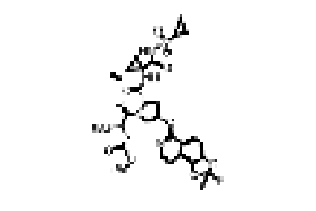 C=C[C@@H]1C[C@]1(NC(=O)[C@@H]1C[C@@H](Oc2nccc3c4c(ccc23)OC(F)(F)O4)CN1C(=O)[C@H](NC(=O)OC(C)(C)C)C(C)(C)C)C(=O)NS(=O)(=O)C1CC1